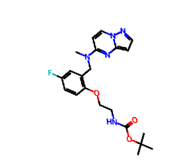 CN(Cc1cc(F)ccc1OCCNC(=O)OC(C)(C)C)c1ccn2nccc2n1